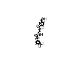 O=C(COc1ccc(Cl)c(Cl)c1)NCCCNC(=O)c1cccc(CO)n1